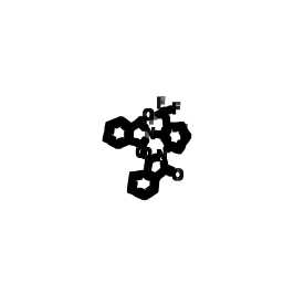 O=C1c2ccccc2C(=O)N1c1cc[c]c(C(F)(F)F)c1N1C(=O)c2ccccc2C1=O